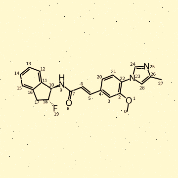 COc1cc(/C=C/C(=O)N[C@@H]2c3ccccc3C[C@H]2F)ccc1-n1cnc(C)c1